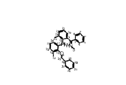 C/N=C(\c1ccccc1)c1cccc(C)c1Pc1cccc(C)c1OCC1C=CC=CC1